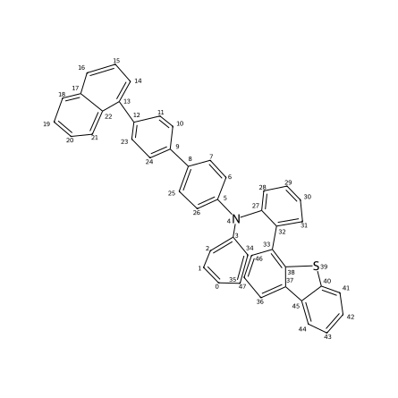 c1ccc(N(c2ccc(-c3ccc(-c4cccc5ccccc45)cc3)cc2)c2ccccc2-c2cccc3c2sc2ccccc23)cc1